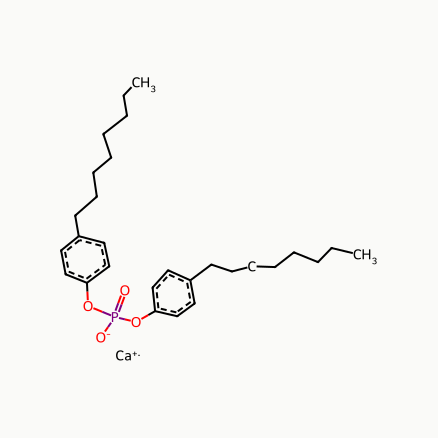 CCCCCCCCc1ccc(OP(=O)([O-])Oc2ccc(CCCCCCCC)cc2)cc1.[Ca+]